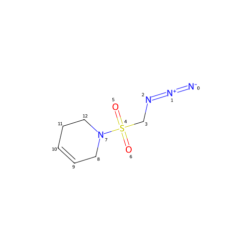 [N-]=[N+]=NCS(=O)(=O)N1CC=CCC1